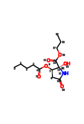 CCCCC(=O)OC1CC(=O)N[C@]1(O)C(=O)OCCC